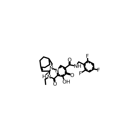 CCN1C(=O)c2c(O)c(=O)c(C(=O)NCc3c(F)cc(F)cc3F)cn2N2CC3CCC(=C[C@@H]12)CC3